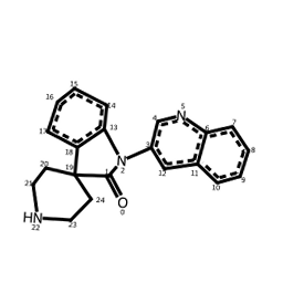 O=C1N(c2cnc3ccccc3c2)c2ccccc2C12CCNCC2